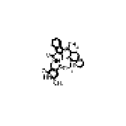 CSc1cc(C)[nH]c(=O)c1CNC(=O)c1c(C)n([C@H](C)C2CCC3(CCCN3)CC2)c2ccccc12